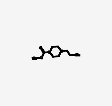 CC(C)(C)CCN1CCN(C(=O)OC(C)(C)C)CC1